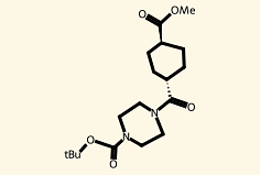 COC(=O)[C@H]1CC[C@H](C(=O)N2CCN(C(=O)OC(C)(C)C)CC2)CC1